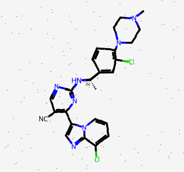 C[C@H](Nc1ncc(C#N)c(-c2cnc3c(Cl)cccn23)n1)c1ccc(N2CCN(C)CC2)c(Cl)c1